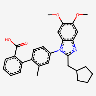 COc1cc2nc(CC3CCCC3)n(-c3ccc(-c4ccccc4C(=O)O)c(C)c3)c2cc1OC